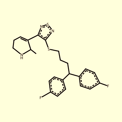 CC1NCCC=C1c1nsnc1SCCCC(c1ccc(F)cc1)c1ccc(F)cc1